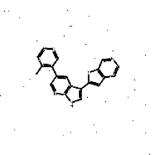 Cc1ccncc1-c1cnc2[nH]cc(-c3cc4ccncc4s3)c2c1